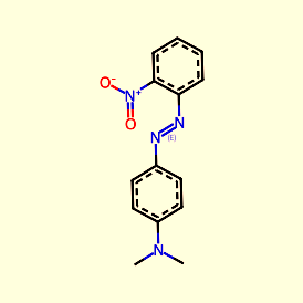 CN(C)c1ccc(/N=N/c2ccccc2[N+](=O)[O-])cc1